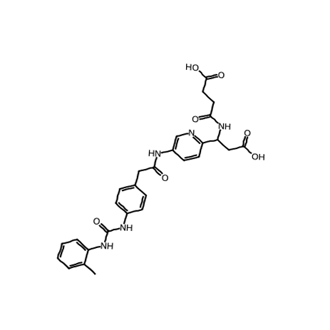 Cc1ccccc1NC(=O)Nc1ccc(CC(=O)Nc2ccc(C(CC(=O)O)NC(=O)CCC(=O)O)nc2)cc1